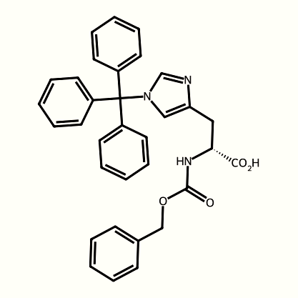 O=C(N[C@H](Cc1cn(C(c2ccccc2)(c2ccccc2)c2ccccc2)cn1)C(=O)O)OCc1ccccc1